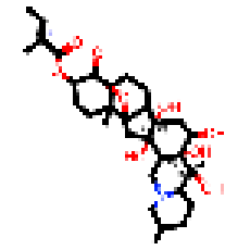 C/C=C(\C)C(=O)OC1CCC2(C)C3CCC4C2(C[C@@]2(O)C5CN6CC(C)CCC6[C@@](C)(O)[C@@]5(O)C(O)C[C@@]42O)OC13O